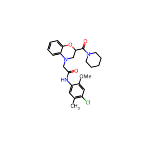 COc1cc(Cl)c(C)cc1NC(=O)CN1CC(C(=O)N2CCCCC2)Oc2ccccc21